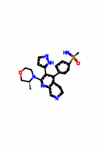 C[C@@H]1COCCN1c1nc2cnccc2c(-c2ccc(S(C)(=N)=O)cc2)c1-c1ccn[nH]1